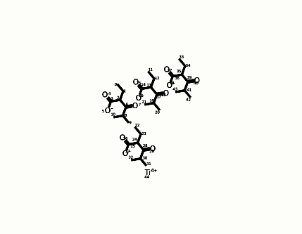 CCC(C(=O)[O-])C(=O)C(C)C.CCC(C(=O)[O-])C(=O)C(C)C.CCC(C(=O)[O-])C(=O)C(C)C.CCC(C(=O)[O-])C(=O)C(C)C.[Ti+4]